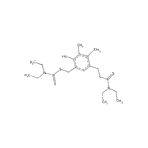 CCN(CC)C(=S)SCc1cc(CSC(=S)N(CC)CC)c(O)c(C)c1C